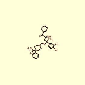 CC(CCN1CCC(C(N)=O)(c2ccccc2)CC1)(CC(=N)C(=O)c1ccccc1)c1ccc(Cl)c(Cl)c1